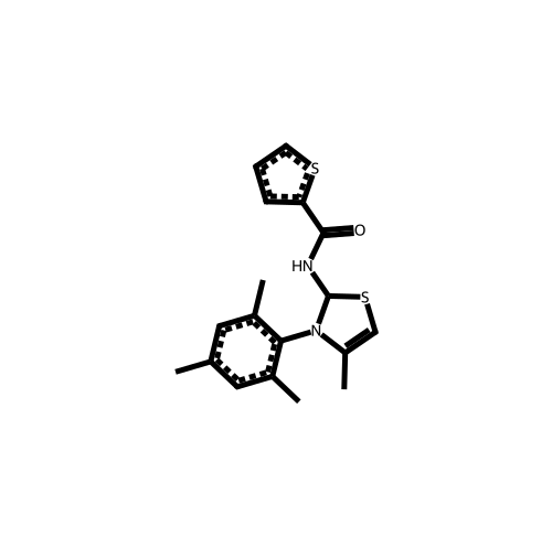 CC1=CSC(NC(=O)c2cccs2)N1c1c(C)cc(C)cc1C